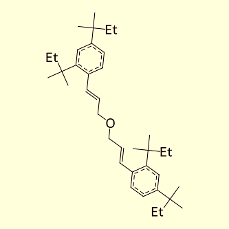 CCC(C)(C)c1ccc(C=CCOCC=Cc2ccc(C(C)(C)CC)cc2C(C)(C)CC)c(C(C)(C)CC)c1